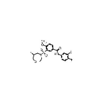 COc1ccc(C(=O)Nc2ccc(F)c(Cl)c2)cc1S(=O)(=O)N1CCOCC(F)C1